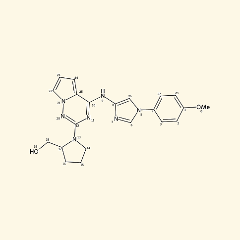 COc1ccc(-n2cnc(Nc3nc(N4CCCC4CO)nn4cccc34)c2)cc1